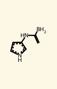 BC(=C)Nc1cc[nH]c1